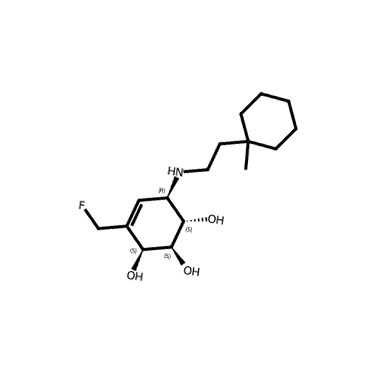 CC1(CCN[C@@H]2C=C(CF)[C@H](O)[C@H](O)[C@H]2O)CCCCC1